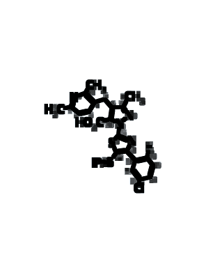 Cc1ccc(Cc2c(C)nn(-c3nc(-c4cc(Cl)ccc4F)c(SC(C)C)s3)c2C(=O)O)c(C)n1